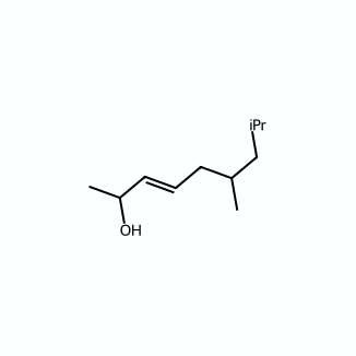 CC(O)C=CCC(C)CC(C)C